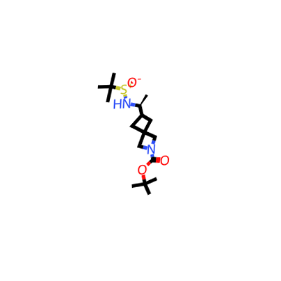 C[C@H](N[S@+]([O-])C(C)(C)C)C1CC2(C1)CN(C(=O)OC(C)(C)C)C2